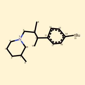 CC1CCCN(CC(C)C(C)c2ccc(C(C)(C)C)cc2)C1